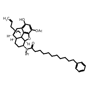 C=CCN1CC[C@]23c4c5c(O)cc(OC(C)=O)c4O[C@H]2[C@@H](N(C(=O)CCCCCCCCCCc2ccccc2)C(C)C)CC[C@H]3[C@H]1C5